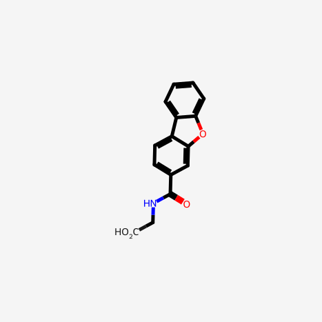 O=C(O)CNC(=O)c1ccc2c(c1)oc1ccccc12